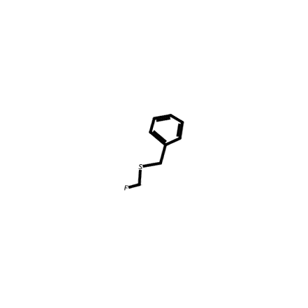 F[CH]SCc1ccccc1